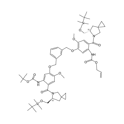 C=CCOC(=O)Nc1cc(OCc2cccc(COc3cc(NC(=O)OC(C)(C)C)c(C(=O)N4CC5(CC5)C[C@H]4CO[Si](C)(C)C(C)(C)C)cc3OC)c2)c(OC)cc1C(=O)N1CC2(CC2)C[C@H]1CO[Si](C)(C)C(C)(C)C